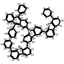 C1=C(c2ccccc2)c2sc3c(-c4ccc5c(c4)c4cc(-c6cccc7c6sc6c(-c8ccccc8)cccc67)ccc4n5-c4ccc5c(-c6ccccc6)c6ccccc6c(-c6ccccc6)c5c4)cccc3c2CC1